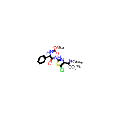 CCOC(=O)C(=NOC)c1nc(NC(=O)[C@@H](NC(=O)OC(C)(C)C)c2ccccc2)sc1Cl